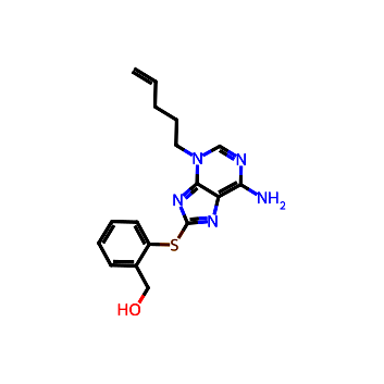 C=CCCCn1cnc(N)c2nc(Sc3ccccc3CO)nc1-2